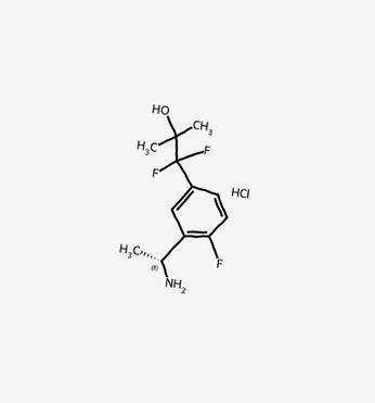 C[C@@H](N)c1cc(C(F)(F)C(C)(C)O)ccc1F.Cl